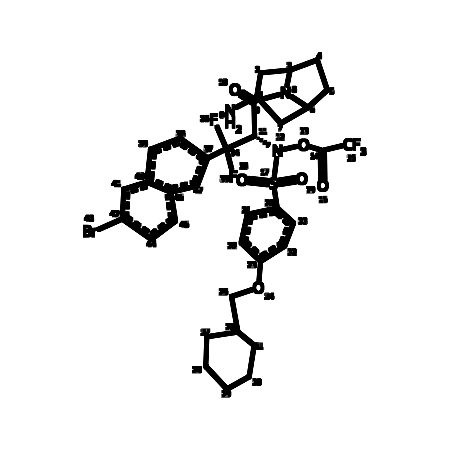 NC1CC2CCC(C1)N2C(=O)[C@H](N(OC(=O)C(F)(F)F)S(=O)(=O)c1ccc(OCC2CCCCC2)cc1)C(F)(F)c1ccc2cc(Br)ccc2c1